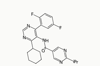 CC(C)c1ncc(C(=O)Nc2c(-c3cc(F)ccc3F)ncnc2C2CCCCC2)cn1